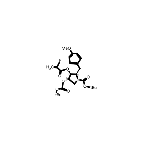 C=C(F)C(=O)O[C@@H]1[C@@H](OC(=O)OC(C)(C)C)CN(C(=O)OC(C)(C)C)[C@@H]1Cc1ccc(OC)cc1